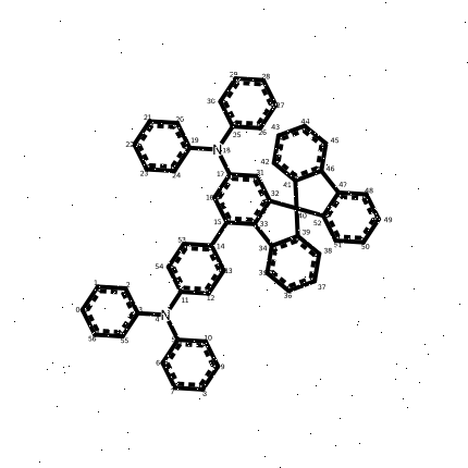 c1ccc(N(c2ccccc2)c2ccc(-c3cc(N(c4ccccc4)c4ccccc4)cc4c3-c3ccccc3C43c4ccccc4-c4ccccc43)cc2)cc1